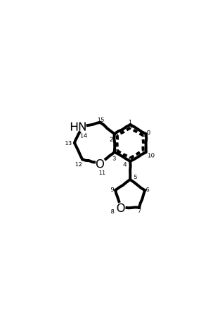 c1cc2c(c(C3CCOC3)c1)OCCNC2